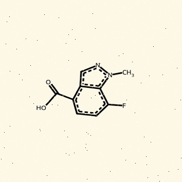 Cn1ncc2c(C(=O)O)ccc(F)c21